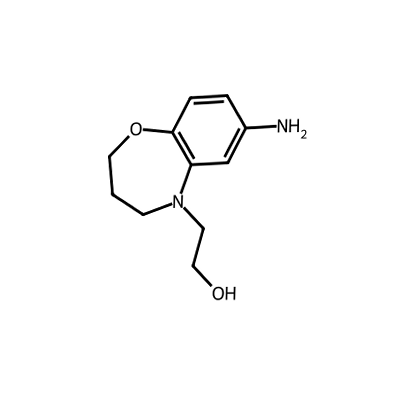 Nc1ccc2c(c1)N(CCO)CCCO2